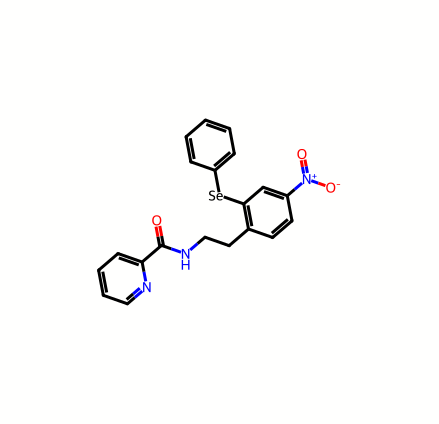 O=C(NCCc1ccc([N+](=O)[O-])cc1[Se]c1ccccc1)c1ccccn1